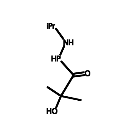 CC(C)NPC(=O)C(C)(C)O